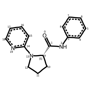 O=C(Nc1ccccc1)[C@@H]1CCCN1c1ccccn1